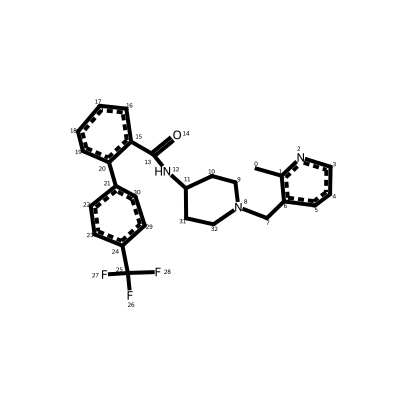 Cc1ncccc1CN1CCC(NC(=O)c2ccccc2-c2ccc(C(F)(F)F)cc2)CC1